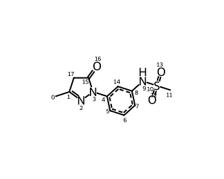 CC1=NN(c2cccc(NS(C)(=O)=O)c2)C(=O)C1